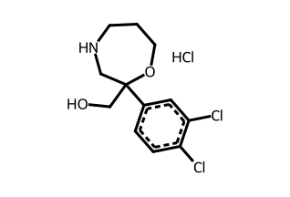 Cl.OCC1(c2ccc(Cl)c(Cl)c2)CNCCCO1